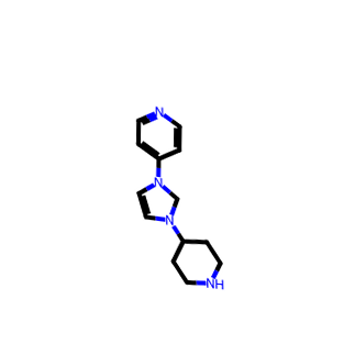 C1=CN(C2CCNCC2)CN1c1ccncc1